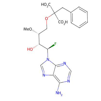 CO[C@H](COC(Cc1ccccc1)(C(=O)O)C(=O)O)[C@@H](O)[C@@H](F)n1cnc2c(N)ncnc21